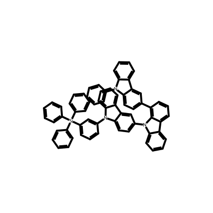 c1ccc(-n2c3ccccc3c3cc(-c4cccc5c6ccccc6n(-c6ccc7c(c6)c6ccccc6n7-c6cccc([Si](c7ccccc7)(c7ccccc7)c7ccccc7)c6)c45)ccc32)cc1